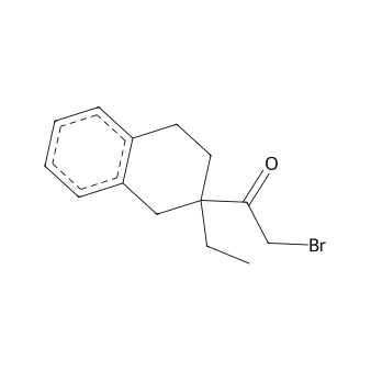 CCC1(C(=O)CBr)CCc2ccccc2C1